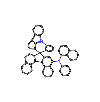 c1ccc(N(c2cccc3ccccc23)c2cc3c(c4ccccc24)-c2c(ccc4ccccc24)C32c3ccccc3-n3c4ccccc4c4cccc2c43)cc1